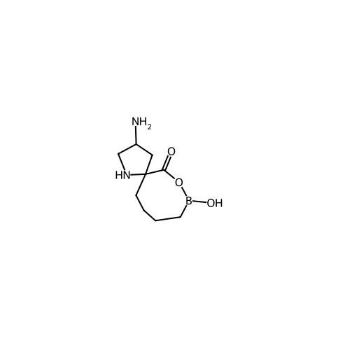 NC1CNC2(CCCCB(O)OC2=O)C1